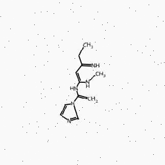 C=C(N/C(=C/C(=N)CC)NC)n1ccnc1